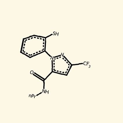 CCCNC(=O)c1cc(C(F)(F)F)nn1-c1ccccc1S